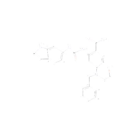 NC(=O)c1cc2c(cc1NC(=O)Nc1ccc3cc[nH]c3c1)N(Cc1ccccc1)CCO2